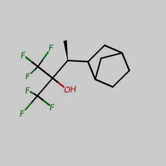 C[C@@H](C1CC2CCC1C2)C(O)(C(F)(F)F)C(F)(F)F